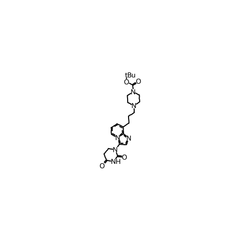 CC(C)(C)OC(=O)N1CCN(CCCc2cccn3c(N4CCC(=O)NC4=O)cnc23)CC1